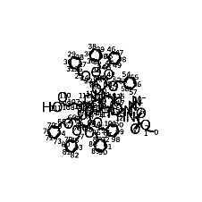 CCOC(=O)C(=O)N[N+](=[N+]=[N-])[C@H]1CC[C@@]2(C)[C@@H](C1)C[C@H](C1O[C@H](COCc3ccccc3)[C@@H](OCc3ccccc3)[C@H](OCc3ccccc3)[C@H]1OCc1ccccc1)[C@@H]1[C@@H]2C[C@@H]([C@@H]2O[C@H](COCc3ccccc3)[C@@H](OCc3ccccc3)[C@H](OCc3ccccc3)[C@H]2OCc2ccccc2)[C@]2(C)[C@@H]([C@H](C)CCC(=O)O)CC[C@@H]12